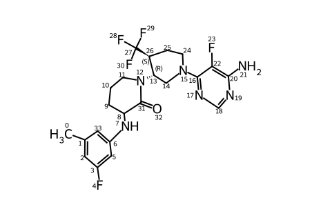 Cc1cc(F)cc(NC2CCCN([C@H]3CN(c4ncnc(N)c4F)CC[C@@H]3C(F)(F)F)C2=O)c1